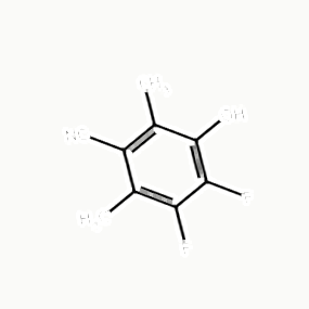 Cc1c(O)c(F)c(F)c(C)c1C#N